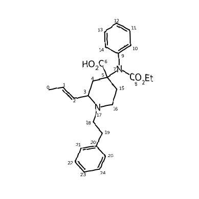 CC=CC1CC(C(=O)O)(N(C(=O)OCC)c2ccccc2)CCN1CCc1ccccc1